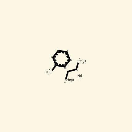 CCCCCCCCCC(=O)O.Cc1ccccc1.[Nd]